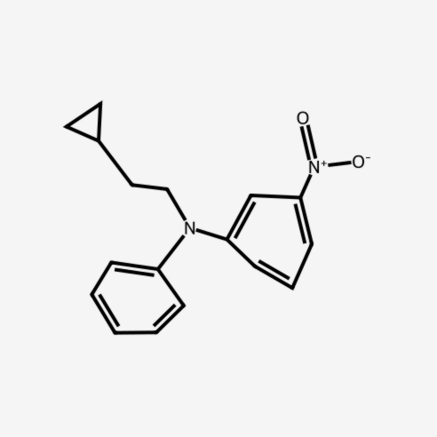 O=[N+]([O-])c1cccc(N(CCC2CC2)c2ccccc2)c1